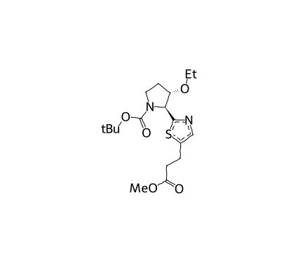 CCO[C@H]1CCN(C(=O)OC(C)(C)C)[C@@H]1c1ncc(CCC(=O)OC)s1